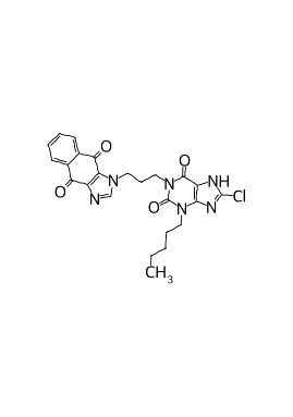 CCCCCn1c(=O)n(CCCn2cnc3c2C(=O)c2ccccc2C3=O)c(=O)c2[nH]c(Cl)nc21